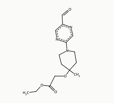 CCOC(=O)COC1(C)CCN(c2cnc(C=O)cn2)CC1